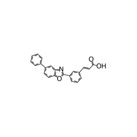 O=C(O)C=Cc1cccc(-c2nc3cc(-c4ccccc4)ccc3o2)c1